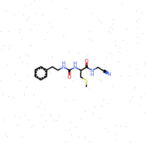 CSCC(NC(=O)NCCc1ccccc1)C(=O)NCC#N